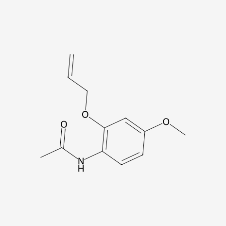 C=CCOc1cc(OC)ccc1NC(C)=O